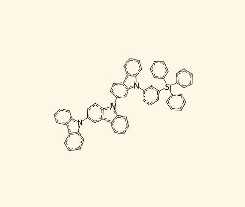 c1ccc([Si](c2ccccc2)(c2ccccc2)c2cccc(-n3c4ccccc4c4ccc(-n5c6ccccc6c6cc(-n7c8ccccc8c8ccccc87)ccc65)cc43)c2)cc1